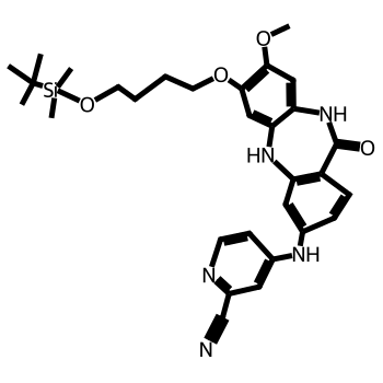 COc1cc2c(cc1OCCCCO[Si](C)(C)C(C)(C)C)Nc1cc(Nc3ccnc(C#N)c3)ccc1C(=O)N2